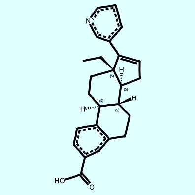 CC[C@]12CC[C@@H]3c4ccc(C(=O)O)cc4CC[C@H]3[C@@H]1CC=C2c1cccnc1